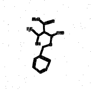 COC(=O)C(C(O)C(F)(F)F)N(C=O)OCc1ccccc1